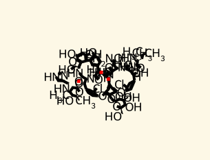 CN[C@H](CC(C)C)C(=O)N[C@H]1C(=O)N[C@@H](CC(N)=O)C(=O)N[C@H]2C(=O)N[C@H]3C(=O)NC(C(=O)N[C@@H](C(=O)O)c4cc(O)cc(O)c4-c4cc3ccc4O)C(O[C@H]3C[C@](C)(NCc4c[nH]cn4)[C@@H](O)[C@H](C)O3)c3ccc(c(Cl)c3)Oc3cc2cc(c3OC2O[C@H](CO)[C@@H](O)[C@H](O)[C@H]2O)Oc2ccc(cc2Cl)[C@H]1O